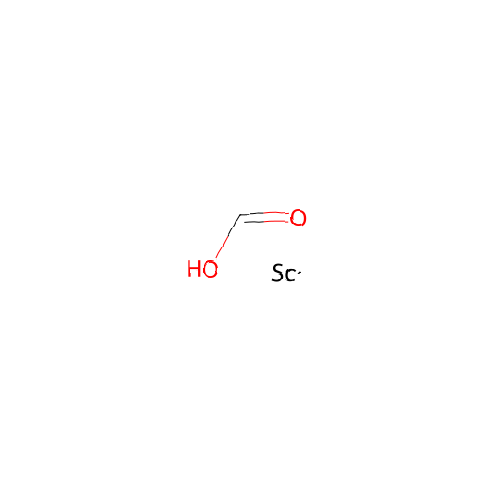 O=CO.[Sc]